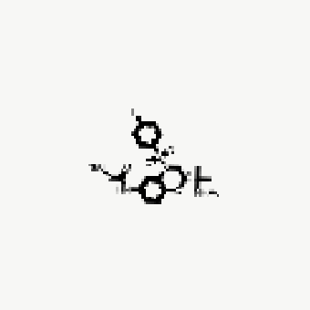 CC(=O)NC(C)(C)[C@H]1CN(S(=O)(=O)c2ccc(F)cc2)c2cc(NC(=O)OC(C)(C)C)ccc2O1